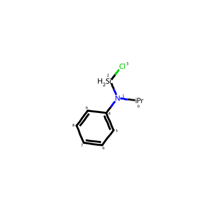 CC(C)N([SiH2]Cl)c1ccccc1